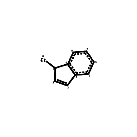 C[CH]C1C=Cc2ccccc21